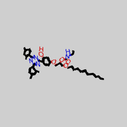 CCCCCCCCCCCCOCC(COc1ccc(-c2nc(-c3ccc(C)cc3C)nc(-c3ccc(C)cc3C)n2)c(O)c1)OC(=O)NCC